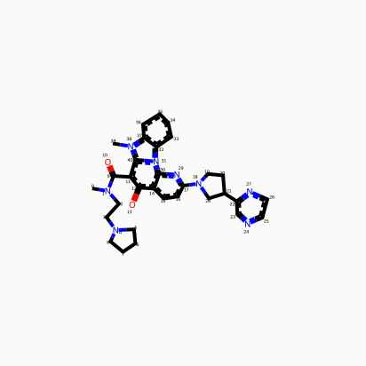 CN(CCN1CCCC1)C(=O)c1c(=O)c2ccc(N3CCC(c4cnccn4)C3)nc2n2c3ccccc3n(C)c12